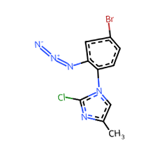 Cc1cn(-c2ccc(Br)cc2N=[N+]=[N-])c(Cl)n1